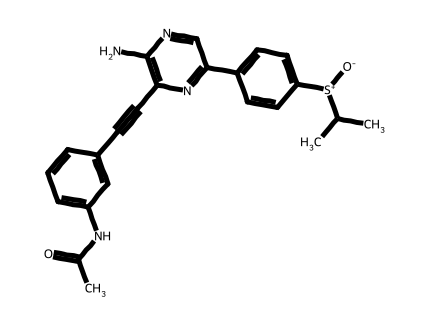 CC(=O)Nc1cccc(C#Cc2nc(-c3ccc([S+]([O-])C(C)C)cc3)cnc2N)c1